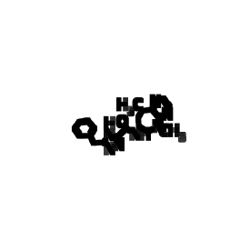 C[C@H]1C[C@@H](NC(=O)c2nnc(Cc3ccccc3)[nH]2)CN(C)c2nccnc21